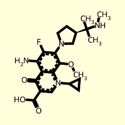 CNC(C)(C)[C@@H]1CCN(c2c(F)c(N)c3c(=O)c(C(=O)O)cn(C4CC4)c3c2OC)C1